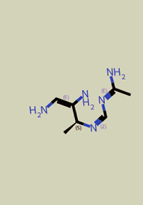 C/C(N)=N\C=N/[C@@H](C)/C(N)=C\N